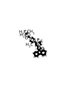 C[C@@H]1CN(C(=O)OC(C)(C)C)CCN1CCCCC1(C(=O)NCC(F)(F)F)c2ccccc2-c2ccccc21